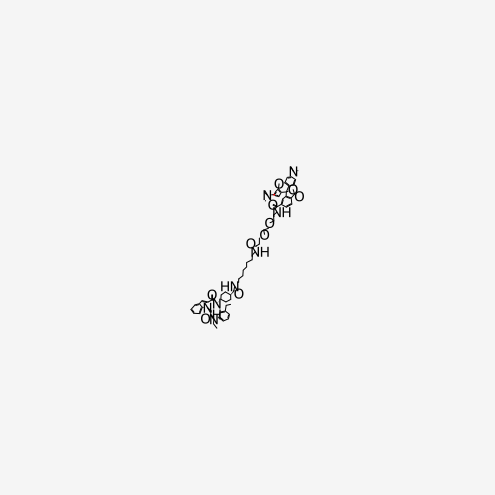 CCc1cccc(N(CC)C(=O)Cn2c(C(=O)N[C@H]3CC[C@H](C(=O)NCCCCCCCCNC(=O)CCOCCOCCNC(=O)c4ccc5c(c4)C4(OC5=O)c5ccc(N(C)C)cc5Oc5cc(N(C)C)ccc54)CC3)cc3ccccc32)c1